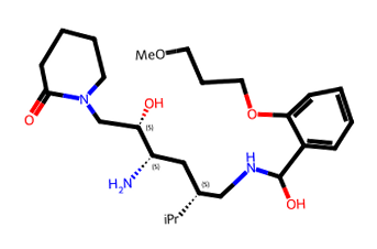 COCCCOc1ccccc1C(O)NC[C@@H](C[C@H](N)[C@@H](O)CN1CCCCC1=O)C(C)C